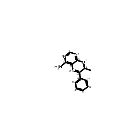 CC1Oc2ncnc(N)c2N=C1c1ccccc1